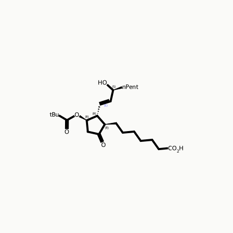 CCCCC[C@H](O)/C=C/[C@H]1[C@H](OC(=O)C(C)(C)C)CC(=O)[C@@H]1CCCCCCC(=O)O